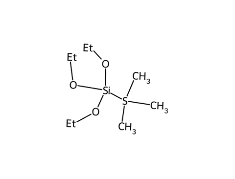 CCO[Si](OCC)(OCC)S(C)(C)C